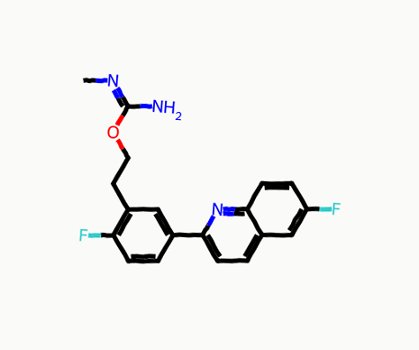 C/N=C(/N)OCCc1cc(-c2ccc3cc(F)ccc3n2)ccc1F